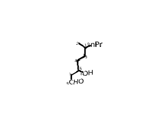 CCCC(C)CCC(O)CC=O